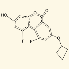 O=c1oc2cc(O)cc(F)c2c2c(F)cc(OC3CCC3)cc12